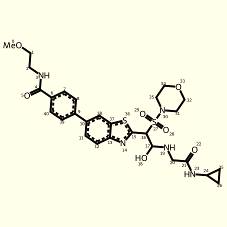 COCCNC(=O)c1ccc(-c2ccc3nc(C(C(O)NCC(=O)NC4CC4)S(=O)(=O)N4CCOCC4)sc3c2)cc1